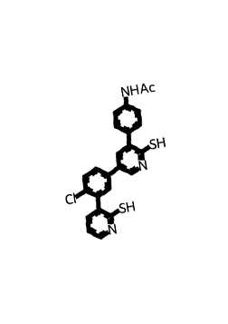 CC(=O)Nc1ccc(-c2cc(-c3ccc(Cl)c(-c4cccnc4S)c3)cnc2S)cc1